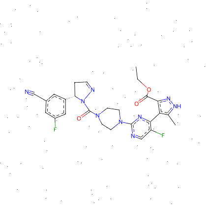 CCOC(=O)c1n[nH]c(C)c1-c1nc(N2CCN(C(=O)N3N=CC[C@H]3c3cc(F)cc(C#N)c3)CC2)ncc1F